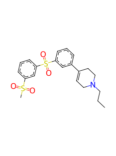 CCCN1CC=C(c2cccc(S(=O)(=O)c3cccc(S(C)(=O)=O)c3)c2)CC1